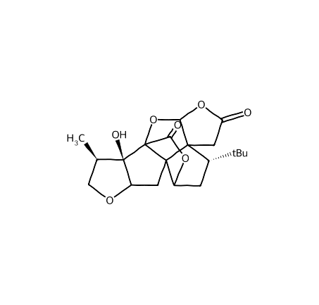 C[C@@H]1COC2CC34C5C[C@@H](C(C)(C)C)C36CC(=O)OC6OC4(C(=O)O5)[C@]21O